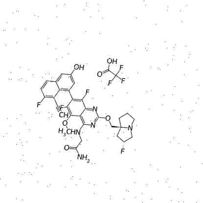 C#Cc1c(F)ccc2cc(O)cc(-c3c(F)c(OC)c4c(NCC(N)=O)nc(OC[C@@]56CCCN5C[C@H](F)C6)nc4c3F)c12.O=C(O)C(F)(F)F